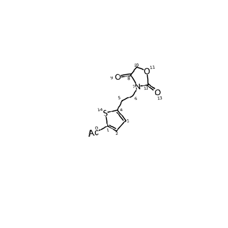 CC(=O)c1ccc(CCN2C(=O)COC2=O)s1